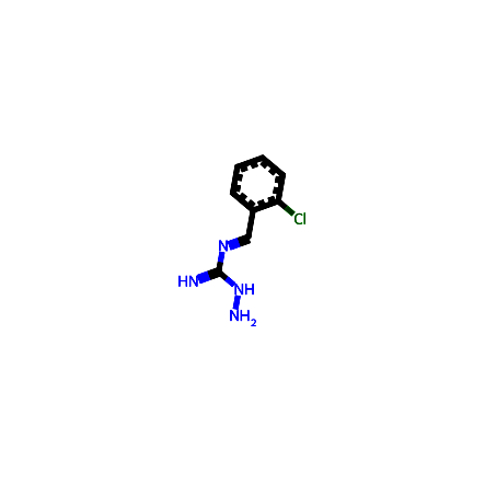 N=C(N=Cc1ccccc1Cl)NN